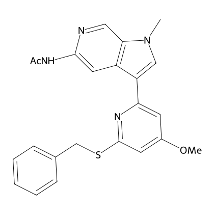 COc1cc(SCc2ccccc2)nc(-c2cn(C)c3cnc(NC(C)=O)cc23)c1